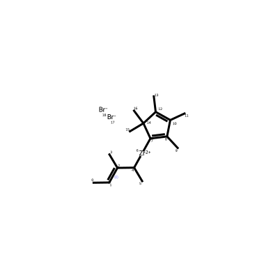 C/C=C(\C)[CH](C)[Zr+2][C]1=C(C)C(C)=C(C)C1(C)C.[Br-].[Br-]